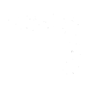 COc1ccc(NC(=O)N2CCC(Nc3ccc(C=CC(=O)NOC4CCCCO4)cn3)CC2)cc1